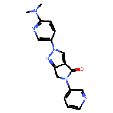 CN(C)c1ccc(-n2cc3c(n2)CN(c2cccnc2)C3=O)cn1